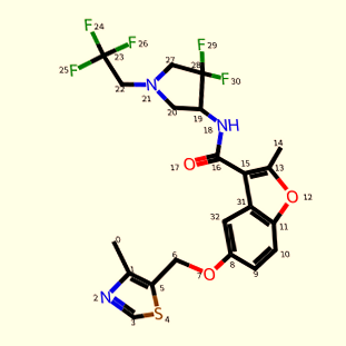 Cc1ncsc1COc1ccc2oc(C)c(C(=O)NC3CN(CC(F)(F)F)CC3(F)F)c2c1